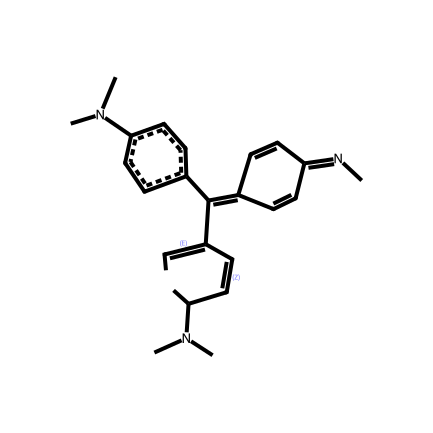 C/C=C(\C=C/C(C)N(C)C)C(=C1C=CC(=NC)C=C1)c1ccc(N(C)C)cc1